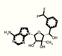 C[C@@]1(O)[C@@H](C(O)c2cccc(C(F)F)c2)O[C@@H](n2ccc3c(N)ncnc32)[C@@H]1O